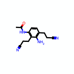 CC(=O)Nc1ccc(CCC#N)c(N)c1CCC#N